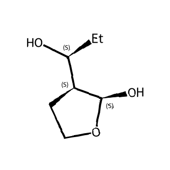 CC[C@H](O)[C@@H]1CCO[C@@H]1O